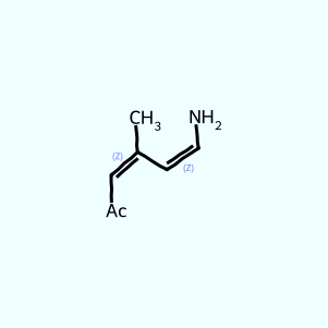 CC(=O)/C=C(C)\C=C/N